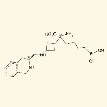 N[C@](CCCCB(O)O)(C(=O)O)C1CC(NC[C@@H]2Cc3ccccc3CN2)C1